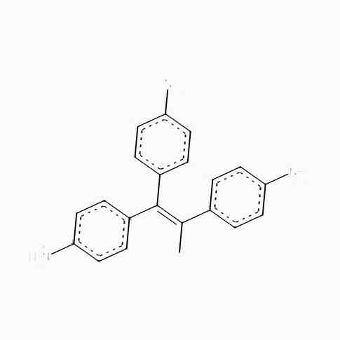 CC(=C(c1ccc(N)cc1)c1ccc(N)cc1)c1ccc(N)cc1